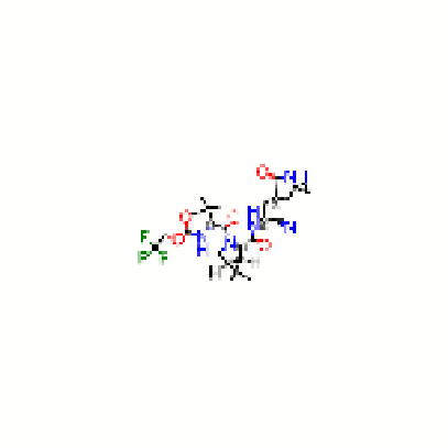 CC(C)(C)[C@H](NC(=O)OCC(F)(F)F)C(=O)N1C[C@H]2[C@@H]([C@H]1C(=O)N[C@H](C#N)C[C@@H]1CC3(CC3)NC1=O)C2(C)C